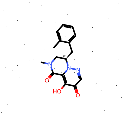 Cc1ccccc1C[C@@H]1CN(C)C(=O)c2c(O)c(=O)cnn21